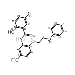 O=C(Nc1cc(C(F)(F)F)ccc1OCCOc1ccccc1)c1cc(Cl)ccc1O